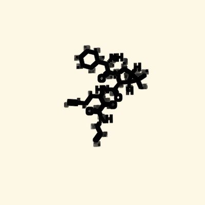 C#CCCC(NC(=O)[C@@H]1[C@@H]2[C@H](CN1C(=O)[C@@H](N)C1CCCCC1)C2(C)C)C(=O)C(=O)NCC=C